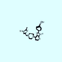 CCn1cc(CN2CCN(c3ccnc4[nH]c(-c5ccc(C(C)(C)C)cc5)nc34)CC2)nc1C